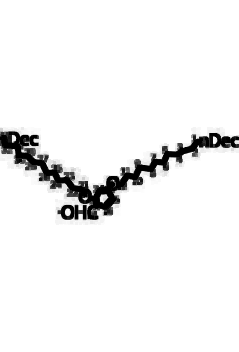 CCCCCCCCCCCCCCCCCCCCCCOc1ccc([C]=O)c(OCCCCCCCCCCCCCCCCCCCCCC)c1